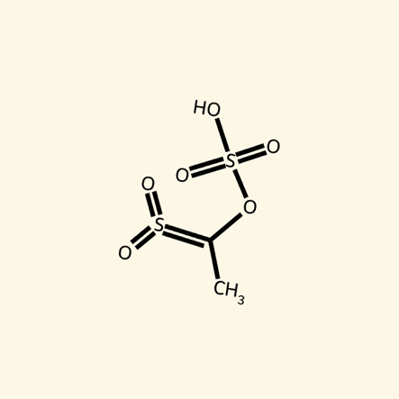 CC(OS(=O)(=O)O)=S(=O)=O